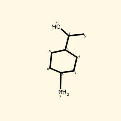 CC(O)C1CCC(N)CC1